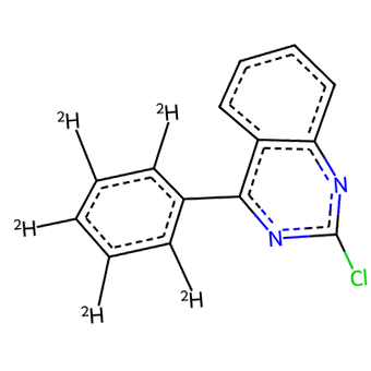 [2H]c1c([2H])c([2H])c(-c2nc(Cl)nc3ccccc23)c([2H])c1[2H]